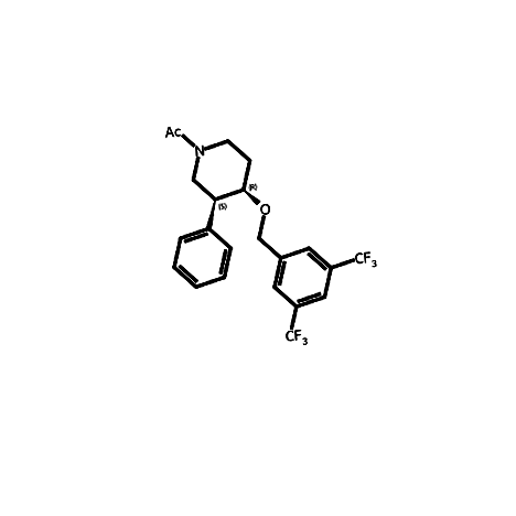 CC(=O)N1CC[C@@H](OCc2cc(C(F)(F)F)cc(C(F)(F)F)c2)[C@@H](c2ccccc2)C1